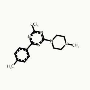 Cc1ccc(-c2nc(N3CCN(C)CC3)nc(C(Cl)(Cl)Cl)n2)cc1